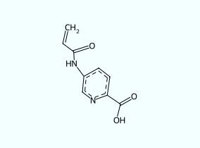 C=CC(=O)Nc1ccc(C(=O)O)nc1